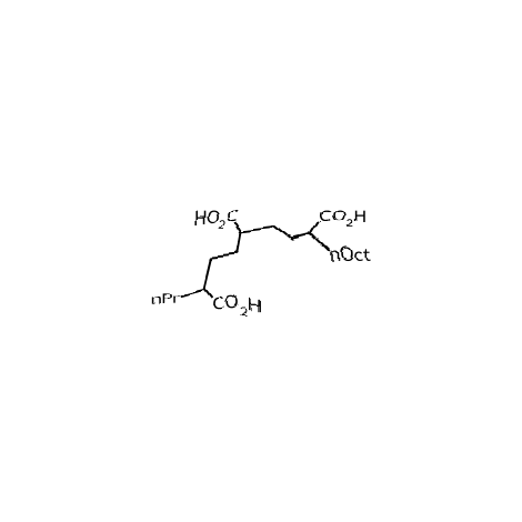 CCCCCCCCC(CCC(CCC(CCC)C(=O)O)C(=O)O)C(=O)O